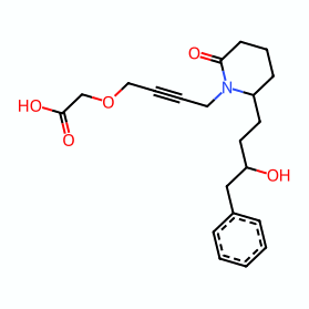 O=C(O)COCC#CCN1C(=O)CCCC1CCC(O)Cc1ccccc1